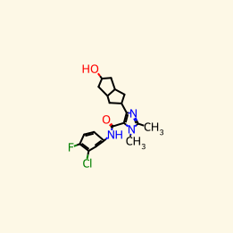 Cc1nc(C2CC3CC(O)CC3C2)c(C(=O)Nc2ccc(F)c(Cl)c2)n1C